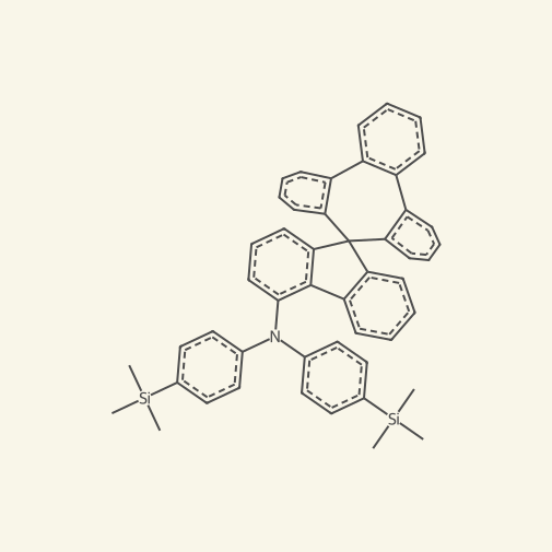 C[Si](C)(C)c1ccc(N(c2ccc([Si](C)(C)C)cc2)c2cccc3c2-c2ccccc2C32c3ccccc3-c3ccccc3-c3ccccc32)cc1